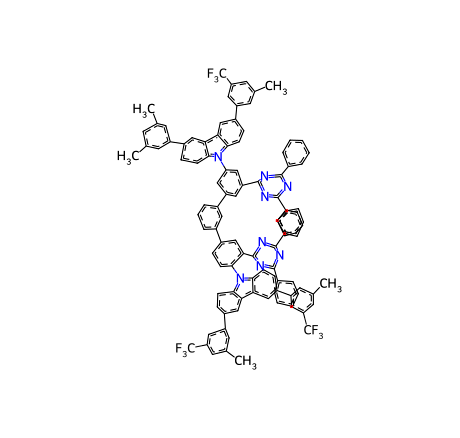 Cc1cc(C)cc(-c2ccc3c(c2)c2cc(-c4cc(C)cc(C(F)(F)F)c4)ccc2n3-c2cc(-c3cccc(-c4ccc(-n5c6ccc(-c7cc(C)cc(C(F)(F)F)c7)cc6c6cc(-c7cc(C)cc(C(F)(F)F)c7)ccc65)c(-c5nc(-c6ccccc6)nc(-c6ccccc6)n5)c4)c3)cc(-c3nc(-c4ccccc4)nc(-c4ccccc4)n3)c2)c1